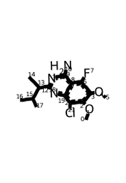 COc1c(OC)c(F)c2c(N)nc(C(C)C(C)C)nc2c1Cl